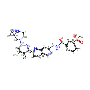 Cc1ccc(C(=O)NCc2cc3nc(-c4nc(N5CCNC6(CC6)C5)cc(F)c4C)ccc3cn2)cc1S(C)(=O)=O